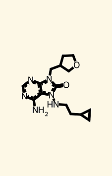 Nc1ncnc2c1n(NCCC1CC1)c(=O)n2CC1CCOC1